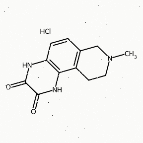 CN1CCc2c(ccc3[nH]c(=O)c(=O)[nH]c23)C1.Cl